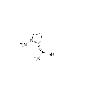 NC(=S)S.NN1CCCC1